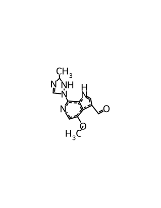 COc1cnc(N2C=NC(C)N2)c2[nH]cc(C=O)c12